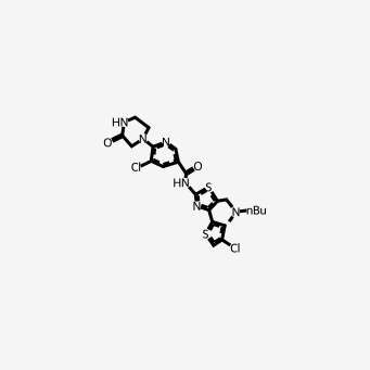 CCCCN(C)Cc1sc(NC(=O)c2cnc(N3CCNC(=O)C3)c(Cl)c2)nc1-c1cc(Cl)cs1